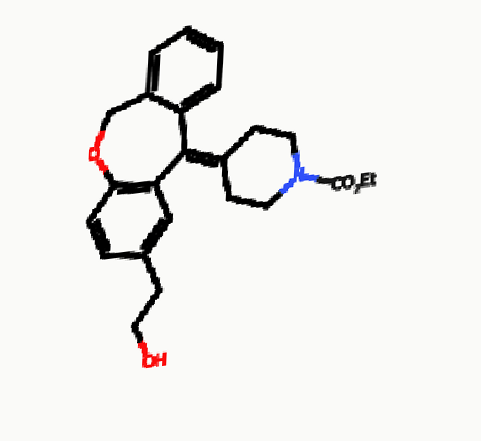 CCOC(=O)N1CCC(=C2c3ccccc3COc3ccc(CCO)cc32)CC1